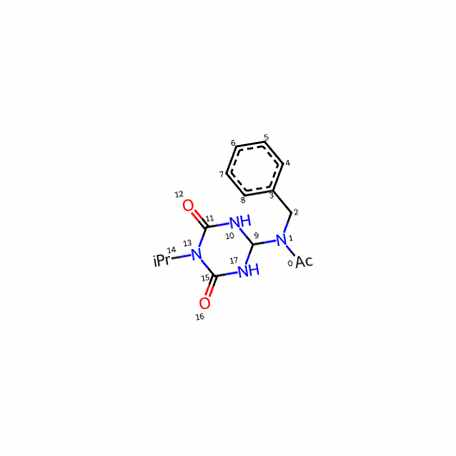 CC(=O)N(Cc1ccccc1)C1NC(=O)N(C(C)C)C(=O)N1